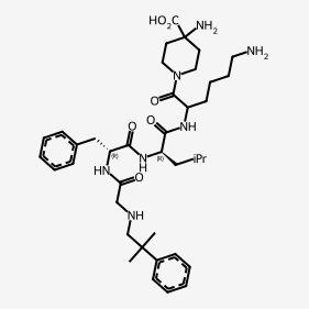 CC(C)C[C@@H](NC(=O)[C@@H](Cc1ccccc1)NC(=O)CNCC(C)(C)c1ccccc1)C(=O)NC(CCCCN)C(=O)N1CCC(N)(C(=O)O)CC1